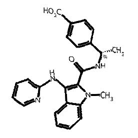 C[C@H](NC(=O)c1c(Nc2ccccn2)c2ccccc2n1C)c1ccc(C(=O)O)cc1